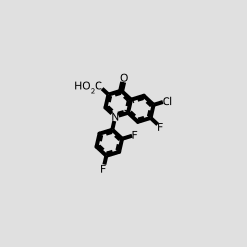 O=C(O)c1cn(-c2ccc(F)cc2F)c2cc(F)c(Cl)cc2c1=O